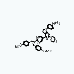 COc1ccc(CN(Cc2ccc(OC)cc2)c2ncc(-c3nc(N4CCOCC4)nc4c3CCN4c3ccc(N)cc3)cn2)cc1